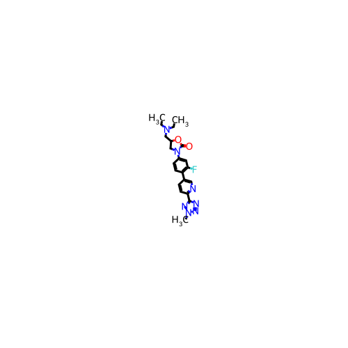 CCN(CC)CC1CN(c2ccc(-c3ccc(-c4nnn(C)n4)nc3)c(F)c2)C(=O)O1